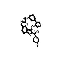 Cc1cscc1-c1cccc(Nc2ncc3ccc4sc(C(=O)N5CCNCC5)cc4c3n2)c1